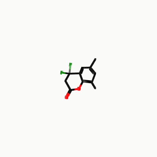 Cc1cc(C)c2c(c1)C(F)(F)CC(=O)O2